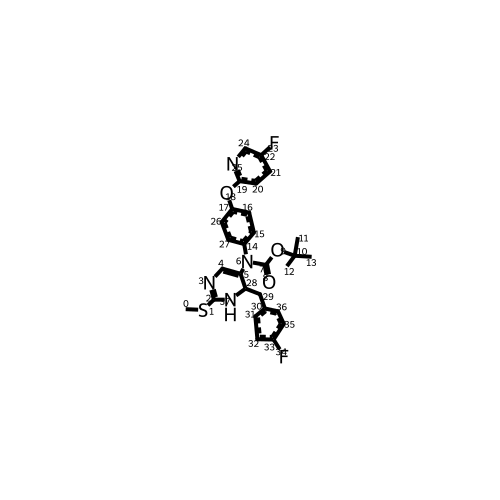 CSC1=NC=C(N(C(=O)OC(C)(C)C)c2ccc(Oc3ccc(F)cn3)cc2)C(Cc2ccc(F)cc2)N1